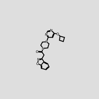 O=C(Cc1noc2ccccc12)N1CCN(c2cc(OC3CCC3)ncn2)CC1